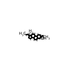 CCCC1CCC2C3CC=C4C[C@](O)(CC)CCC4C3CCC12C